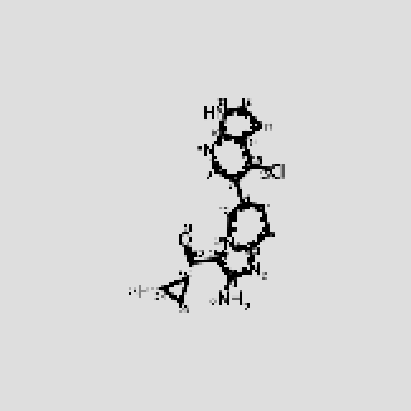 Nc1nc2ccc(-c3cnc4[nH]ccc4c3Cl)cn2c1C(=O)[C@@H]1C[C@@H]1F